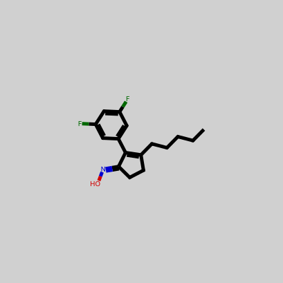 CCCCCC1=C(c2cc(F)cc(F)c2)/C(=N/O)CC1